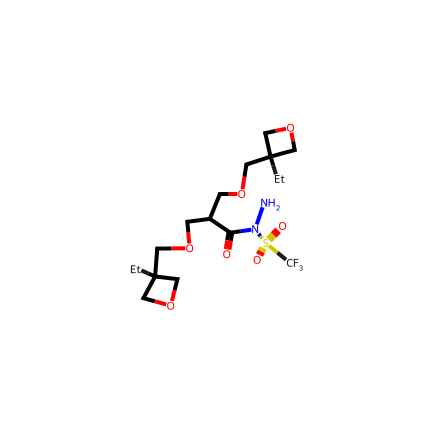 CCC1(COCC(COCC2(CC)COC2)C(=O)N(N)S(=O)(=O)C(F)(F)F)COC1